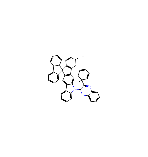 CC1C=CC2=C(C1)c1cc3c(cc1C21c2ccccc2C2C=CC=CC21)c1ccccc1n3C1Nc2ccccc2N=C1C1(C)C=CC=CC1